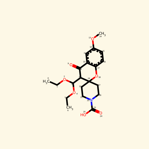 CCOC(OCC)C1C(=O)c2cc(OC)ccc2OC12CCN(C(=O)O)CC2